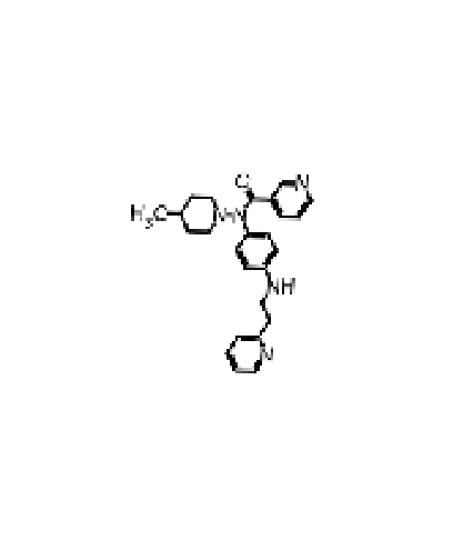 CC1CCN(N(C(=O)c2cccnc2)c2ccc(NCCc3ccccn3)cc2)CC1